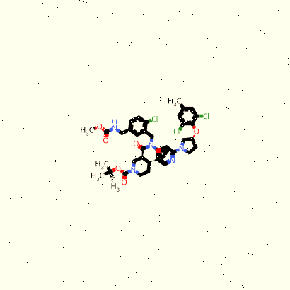 COC(=O)NCc1ccc(Cl)c(CN(C(=O)[C@@H]2CN(C(=O)OC(C)(C)C)CC[C@H]2c2ccc(N3CC[C@@H](Oc4c(Cl)cc(C)cc4Cl)C3)nc2)C2CC2)c1